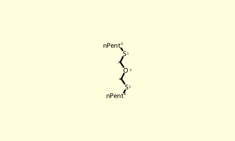 CCCCCSCOCSCCCCC